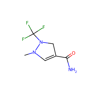 CN1C=C(C(N)=O)CN1C(F)(F)F